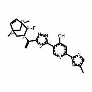 C=C(c1nnc(-c2cnc(-n3ncc(C)n3)cc2O)s1)[C@H]1C[C@]2(C)C=C[C@@](C)(C2)[C@@H]1F